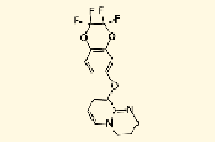 FC1(F)Oc2ccc(OC3=CC=CN4CCSN=C34)cc2OC1(F)F